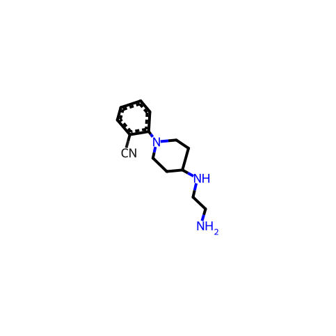 N#Cc1ccccc1N1CCC(NCCN)CC1